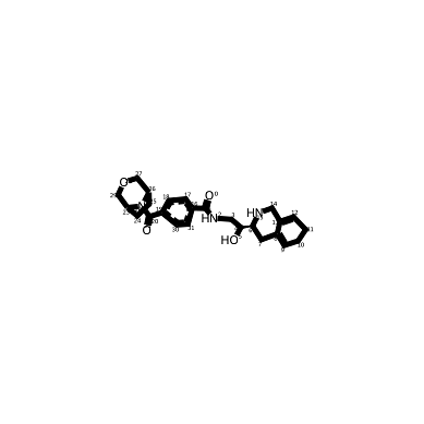 O=C(NCC(O)[C@@H]1CC2=CCCC=C2CN1)c1ccc(C(=O)N2C3CCC2COC3)cc1